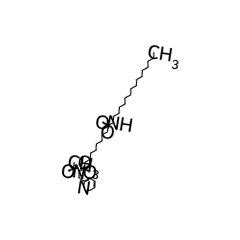 CCCCCCCCCCCCCCCNC(=O)OCCCCCCOC(=O)N(Cc1ccccn1)C(C)=O